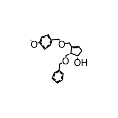 COc1ccc(COCC2=CC[C@H](O)[C@H]2COCc2ccccc2)cc1